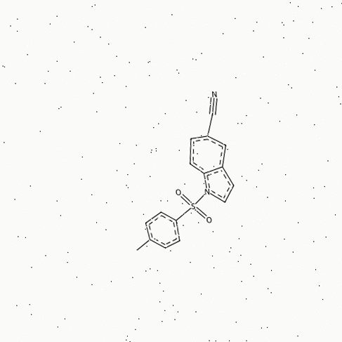 Cc1ccc(S(=O)(=O)n2ccc3cc(C#N)ccc32)cc1